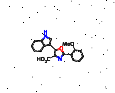 COc1ccccc1-c1nc(C(=O)O)c(-c2c[nH]c3ccccc23)o1